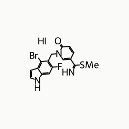 CSC(=N)c1ccc(=O)n(Cc2c(F)cc3[nH]ccc3c2Br)c1.I